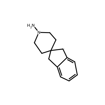 NN1CCC2([CH]c3ccccc3C2)CC1